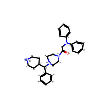 O=C(CN(c1ccccc1)c1ccccc1)N1CCN(C(c2ccccc2)C2CCNCC2)CC1